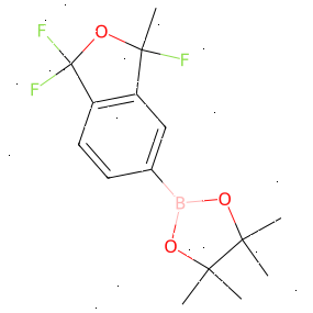 CC1(F)OC(F)(F)c2ccc(B3OC(C)(C)C(C)(C)O3)cc21